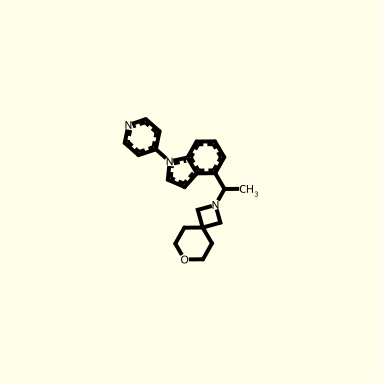 CC(c1cccc2c1ccn2-c1ccncc1)N1CC2(CCOCC2)C1